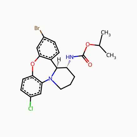 CC(C)OC(=O)N[C@@H]1CCCN2c3cc(Cl)ccc3Oc3cc(Br)ccc3[C@@H]12